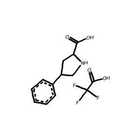 O=C(O)C(F)(F)F.O=C(O)C1CC(c2ccccc2)CN1